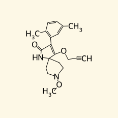 C#CCOC1=C(c2cc(C)ccc2C)C(=O)NC12CCN(OC)CC2